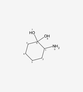 NC1CCCCC1(O)O